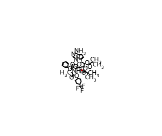 CC(C)C(=O)O[C@H]1[C@H](c2ccc3c(N)ncnn23)O[C@](C#N)(COP(=O)(N[C@@H](C)C(=O)O[C@H]2CC[C@H](C(F)(F)F)CC2)Oc2ccccc2)[C@H]1OC(=O)C(C)C